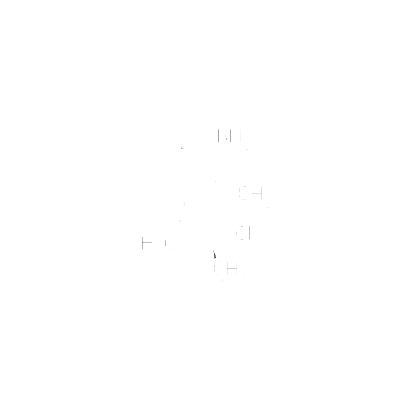 BC1=CCC([C@@H](C)[C@H](C)Cl)C1=C